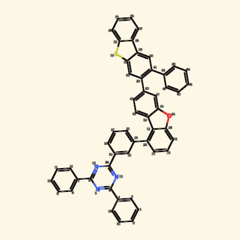 c1ccc(-c2nc(-c3ccccc3)nc(-c3cccc(-c4cccc5oc6cc(-c7cc8sc9ccccc9c8cc7-c7ccccc7)ccc6c45)c3)n2)cc1